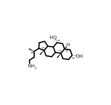 C[C@H](CCN)C1CCC2C3C(CC[C@@]21C)[C@@]1(C)CC[C@@H](O)C[C@H]1C[C@H]3O